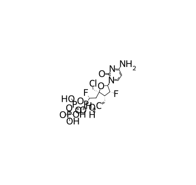 C=C[C@H]1[C@@H](F)[C@H](n2ccc(N)nc2=O)O[C@]1(CCl)C[C@@H](F)P(=O)(O)OP(=O)(O)OP(=O)(O)O